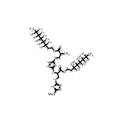 CSc1nnc(SCC(Sc2nnc(SCC(C)C(=O)OCCC(F)(F)C(F)(F)C(F)(F)C(F)(F)C(F)(F)C(F)(F)F)s2)C(=O)OCCC(F)(F)C(F)(F)C(F)(F)C(F)(F)C(F)(F)C(F)(F)F)s1